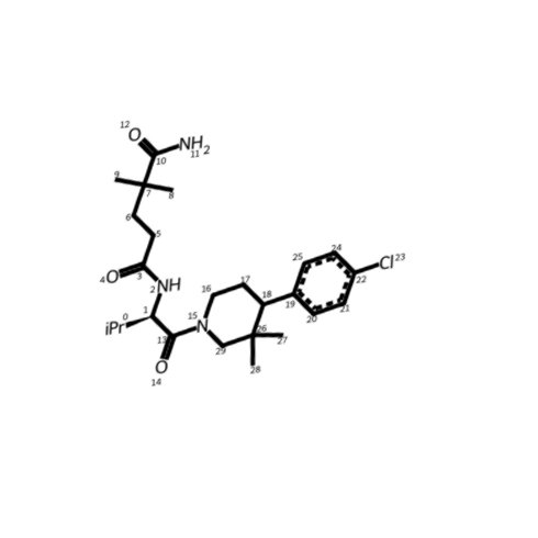 CC(C)[C@@H](NC(=O)CCC(C)(C)C(N)=O)C(=O)N1CCC(c2ccc(Cl)cc2)C(C)(C)C1